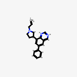 C=CCN1CCC(c2cc(-c3ccccc3)cc3cncnc23)C1